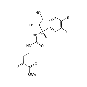 C=C(CCNC(=O)N[C@@](C)(c1ccc(Br)c(Cl)c1)C(CO)C(C)C)C(=O)OC